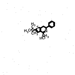 C[Si](C)(C)c1cc2c(s1)CC(c1ccccc1)N=C2N.Cl